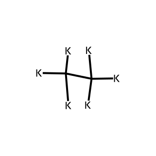 [K][C]([K])([K])[C]([K])([K])[K]